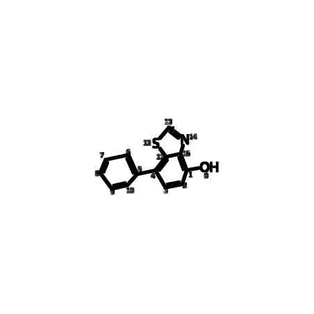 Oc1ccc(-c2ccccc2)c2s[c]nc12